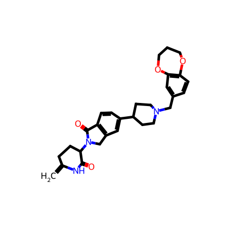 C=C1CCC(N2Cc3cc(C4CCN(Cc5ccc6c(c5)OCCCO6)CC4)ccc3C2=O)C(=O)N1